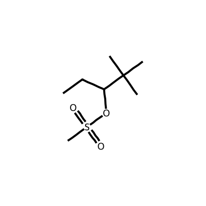 CCC(OS(C)(=O)=O)C(C)(C)C